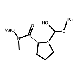 CON(C)C(=O)[C@H]1CCCN1C(O)OC(C)(C)C